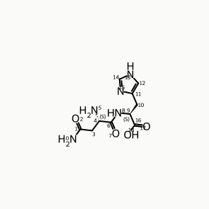 NC(=O)C[C@H](N)C(=O)N[C@@H](Cc1c[nH]cn1)C(=O)O